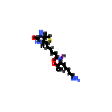 CC(=O)C(CCCCCN)N(I)C(=O)CCCC[C@@H]1SC[C@@H]2NC(=O)N[C@@H]21